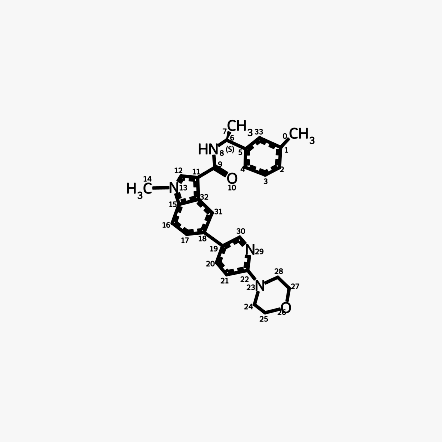 Cc1cccc([C@H](C)NC(=O)c2cn(C)c3ccc(-c4ccc(N5CCOCC5)nc4)cc23)c1